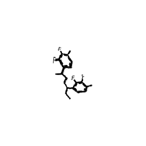 CCC(CCC(C)c1ccc(C)c(F)c1F)c1ccc(C)c(F)c1F